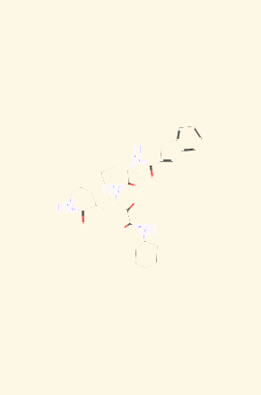 CC(C)C[C@H](NC(=O)c1cc2ccccc2s1)C(=O)N[C@@H](C[C@@H]1CCCNC1=O)C(=O)C(=O)NC1CCCCC1